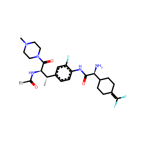 CCC(=O)N[C@@H](C(=O)N1CCN(C)CC1)[C@@H](C)c1ccc(NC(=O)[C@@H](N)C2CCC(=C(F)F)CC2)c(F)c1